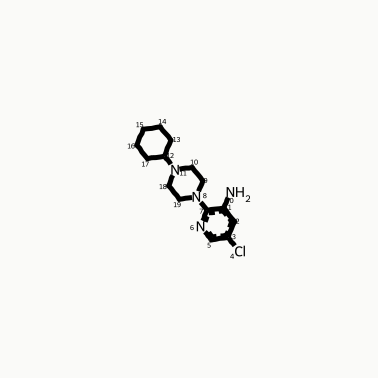 Nc1cc(Cl)cnc1N1CCN(C2CCCCC2)CC1